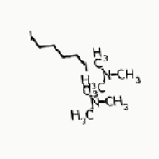 CN(C)C.CN(C)C.ICCCCI